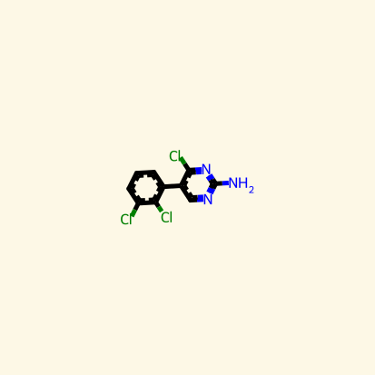 Nc1ncc(-c2cccc(Cl)c2Cl)c(Cl)n1